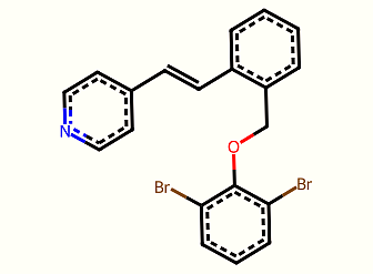 Brc1cccc(Br)c1OCc1ccccc1C=Cc1ccncc1